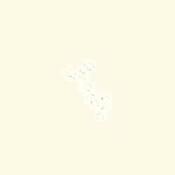 c1ccc(-c2nc3ccccc3c3c4c(ccc23)OC(c2ccc(-c3cc(-c5ccccn5)nc(-c5ccccn5)c3)cc2)N4)cc1